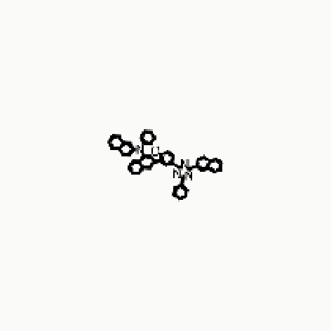 c1ccc(-c2nc(-c3ccc4ccccc4c3)nc(-c3ccc4oc5c(N(c6ccccc6)c6ccc7ccccc7c6)c6ccccc6cc5c4c3)n2)cc1